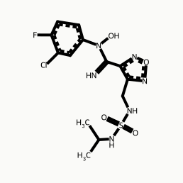 CC(C)NS(=O)(=O)NCc1nonc1C(=N)N(O)c1ccc(F)c(Cl)c1